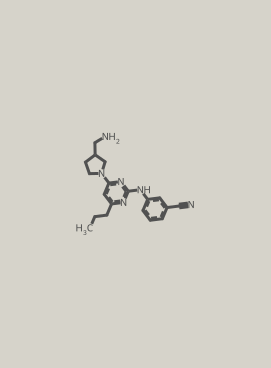 CCCc1cc(N2CCC(CN)C2)nc(Nc2cccc(C#N)c2)n1